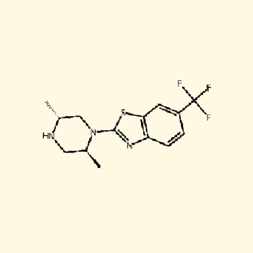 C[C@@H]1CN(c2nc3ccc(C(F)(F)F)cc3s2)[C@@H](C)CN1